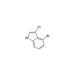 CCc1c[pH]c2cccc(Br)c12